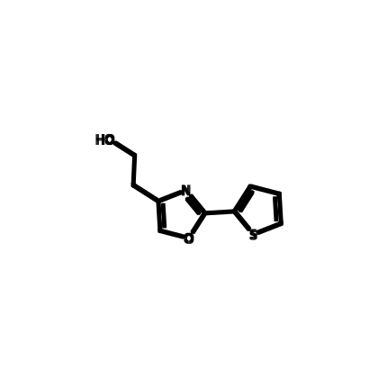 OCCc1coc(-c2cccs2)n1